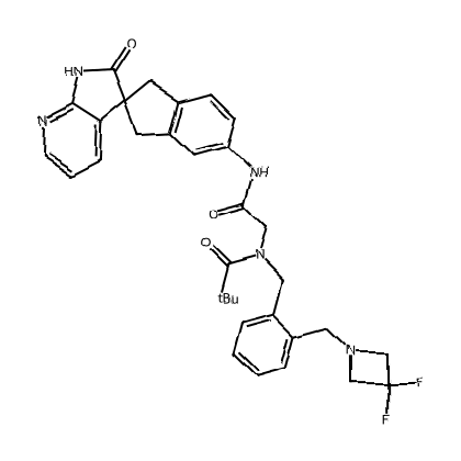 CC(C)(C)C(=O)N(CC(=O)Nc1ccc2c(c1)CC1(C2)C(=O)Nc2ncccc21)Cc1ccccc1CN1CC(F)(F)C1